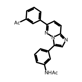 CC(=O)Nc1cccc(-c2cnc3ccc(-c4cccc(C(C)=O)c4)nn23)c1